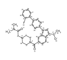 CN(C)C(=O)CN1CCN(C(=O)c2ccc3c([S+](C)[O-])cn(-c4ncc(-c5ccccc5F)cn4)c3c2)CC1